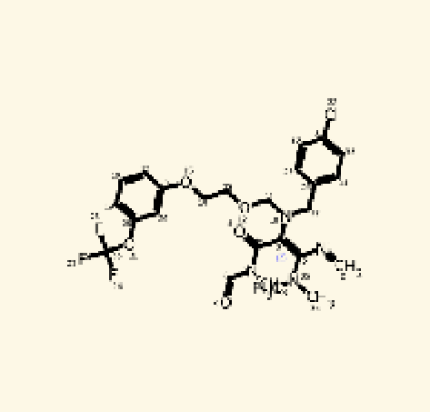 C=N/C(=C(/C(=O)N(C)C=O)N(COCCOc1cccc(OC(F)(F)F)c1)Cc1ccc(Cl)cc1)N(C)C